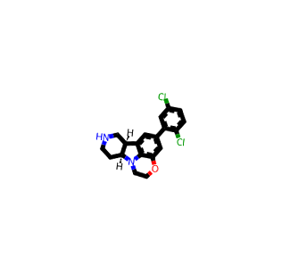 Clc1ccc(Cl)c(-c2cc3c4c(c2)[C@@H]2CNCC[C@@H]2N4CCO3)c1